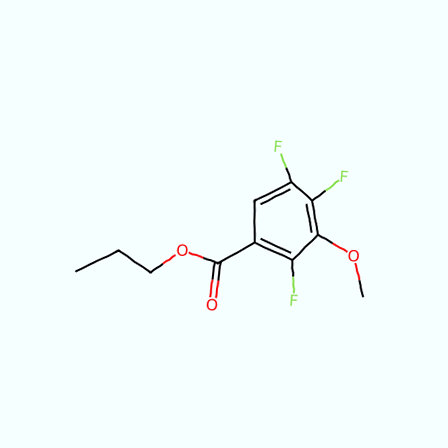 CCCOC(=O)c1cc(F)c(F)c(OC)c1F